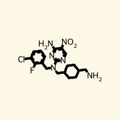 NCC1CCC(CN(Cc2cccc(Cl)c2F)c2ncc([N+](=O)[O-])c(N)n2)CC1